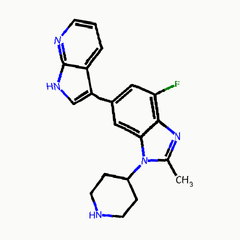 Cc1nc2c(F)cc(-c3c[nH]c4ncccc34)cc2n1C1CCNCC1